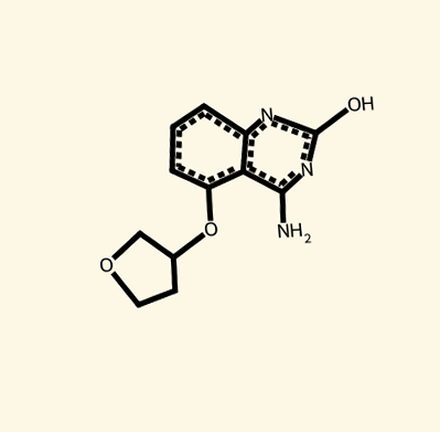 Nc1nc(O)nc2cccc(OC3CCOC3)c12